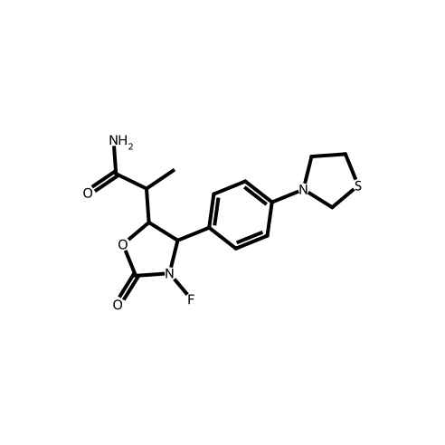 CC(C(N)=O)C1OC(=O)N(F)C1c1ccc(N2CCSC2)cc1